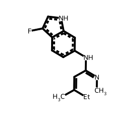 CC/C(C)=C\C(=N/C)Nc1ccc2c(F)c[nH]c2c1